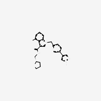 O=C(NC[C@H]1CCCO1)c1cn(Cc2ccc(-c3cn[nH]c3)cc2)c2cccc(F)c12